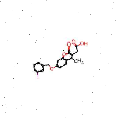 Cc1c(CC(=O)O)c(=O)oc2cc(OCc3cccc(I)c3)ccc12